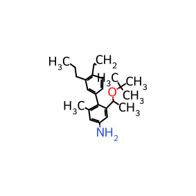 C=Cc1ccc(-c2c(C)cc(N)cc2C(C)OC(C)(C)C)cc1CCC